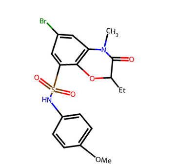 CCC1Oc2c(cc(Br)cc2S(=O)(=O)Nc2ccc(OC)cc2)N(C)C1=O